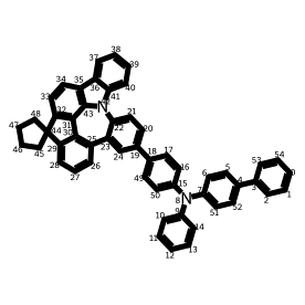 c1ccc(-c2ccc(N(c3ccccc3)c3ccc(-c4ccc5c(c4)-c4cccc6c4-c4c(ccc7c8ccccc8n-5c47)C64CCCC4)cc3)cc2)cc1